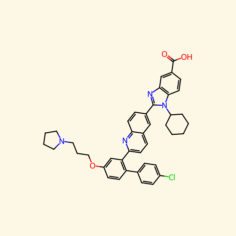 O=C(O)c1ccc2c(c1)nc(-c1ccc3nc(-c4cc(OCCCN5CCCC5)ccc4-c4ccc(Cl)cc4)ccc3c1)n2C1CCCCC1